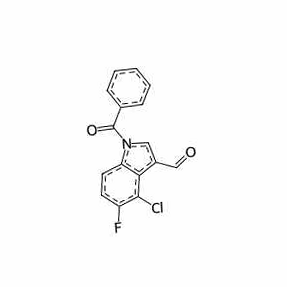 O=Cc1cn(C(=O)c2ccccc2)c2ccc(F)c(Cl)c12